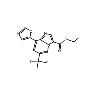 CCOC(=O)c1cnc2c(-c3cnco3)cc(C(C)(F)F)cn12